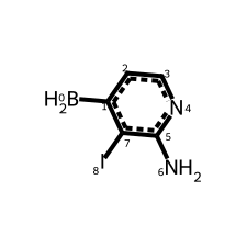 Bc1ccnc(N)c1I